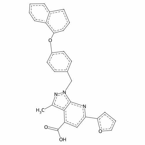 Cc1nn(Cc2ccc(Oc3cccc4ccccc34)cc2)c2nc(-c3ccco3)cc(C(=O)O)c12